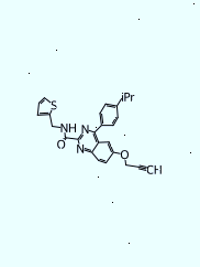 C#CCOc1ccc2nc(C(=O)NCc3cccs3)nc(-c3ccc(C(C)C)cc3)c2c1